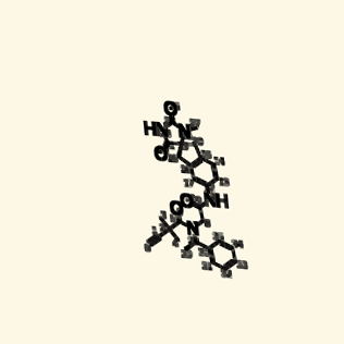 C#CC(C)(C)C(=O)N(CC(=O)Nc1ccc2c(c1)C[C@@]1(C2)C(=O)NC(=O)N1C)[C@H](C)c1ccccc1